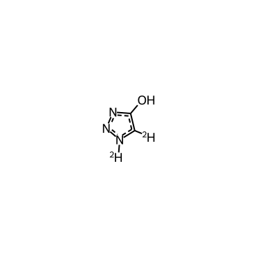 [2H]c1c(O)nnn1[2H]